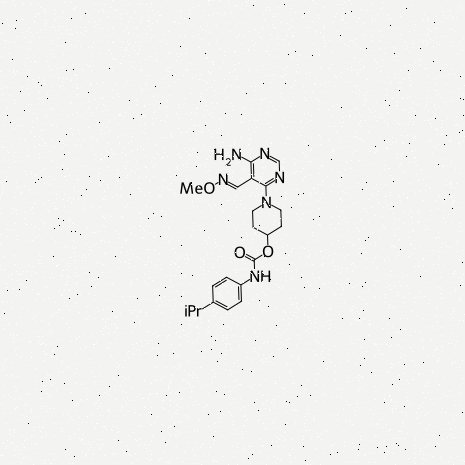 CON=Cc1c(N)ncnc1N1CCC(OC(=O)Nc2ccc(C(C)C)cc2)CC1